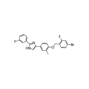 Cc1cc(-c2c[nH]c(-c3cccc(F)c3)n2)ccc1OCc1ccc(Br)cc1F